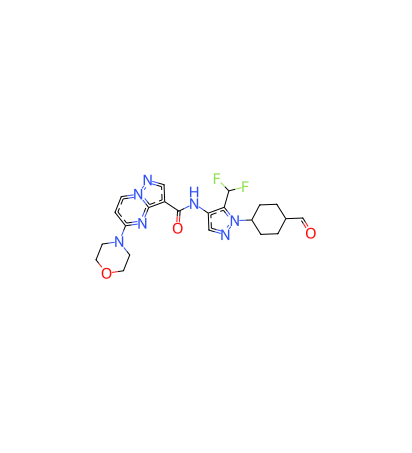 O=CC1CCC(n2ncc(NC(=O)c3cnn4ccc(N5CCOCC5)nc34)c2C(F)F)CC1